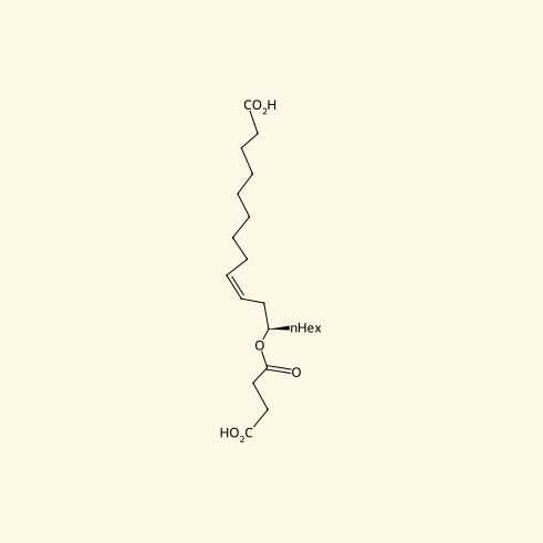 CCCCCC[C@H](C/C=C\CCCCCCCC(=O)O)OC(=O)CCC(=O)O